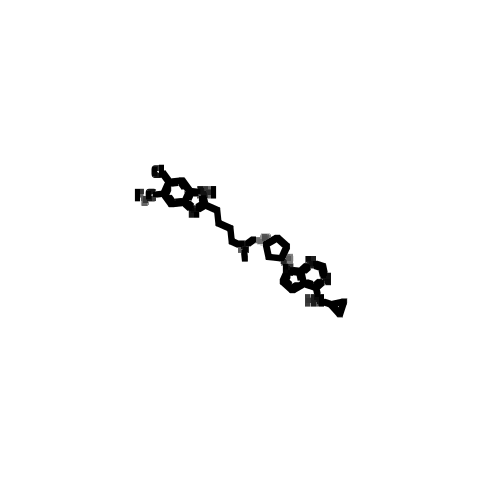 CN(CCCCc1nc2cc(C(F)(F)F)c(Cl)cc2[nH]1)C[C@@H]1CC[C@H](n2ccc3c(NC4CC4)ncnc32)C1